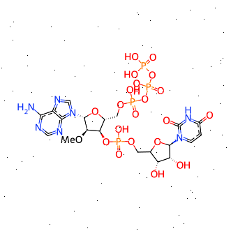 CO[C@@H]1[C@H](OP(=O)(O)OCC2O[C@@H](n3ccc(=O)[nH]c3=O)[C@H](O)[C@@H]2O)[C@@H](COP(=O)(O)OP(=O)(O)OP(=O)(O)O)O[C@H]1n1cnc2c(N)ncnc21